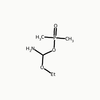 CCOC(N)OP(C)(C)=O